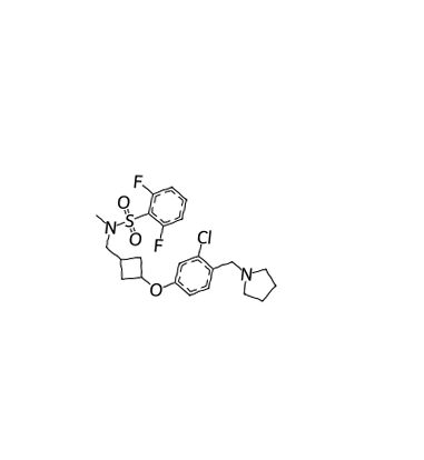 CN(CC1CC(Oc2ccc(CN3CCCC3)c(Cl)c2)C1)S(=O)(=O)c1c(F)cccc1F